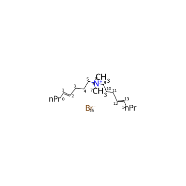 CCCC=CCCC[N+](C)(C)CCCC=CCCC.[Br-]